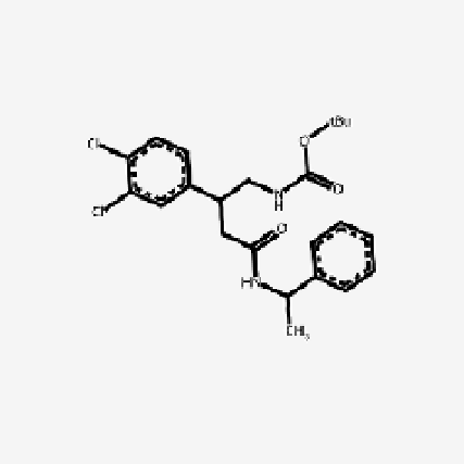 CC(NC(=O)CC(CNC(=O)OC(C)(C)C)c1ccc(Cl)c(Cl)c1)c1ccccc1